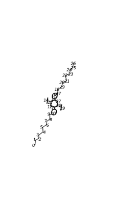 CCCCCCCCCCOc1cc(I)c(OCCCCCCCCCC)cc1I